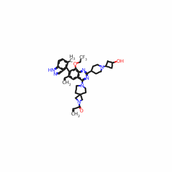 C=CC(=O)N1CC2(CCN(c3nc(C4CCN(C5CC(O)C5)CC4)nc4c(OCC(F)(F)F)c(-c5c(C)ccc6[nH]ncc56)c(C=C)cc34)CC2)C1